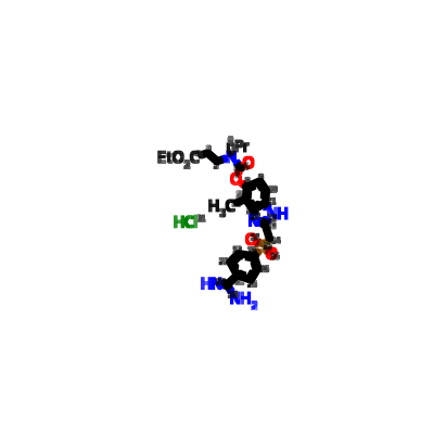 CCCN(CCC(=O)OCC)C(=O)Oc1ccc2[nH]c(CS(=O)(=O)c3ccc(C(=N)N)cc3)nc2c1C.Cl